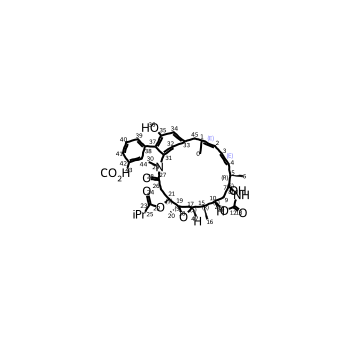 C/C1=C\C=C\[C@@H](C)[C@@]2(O)C[C@H](OC(=O)N2)[C@@H](C)[C@@H]2O[C@@]2(C)[C@@H](OC(=O)C(C)C)CC(=O)N(C)c2cc(cc(O)c2-c2cccc(C(=O)O)c2)C1